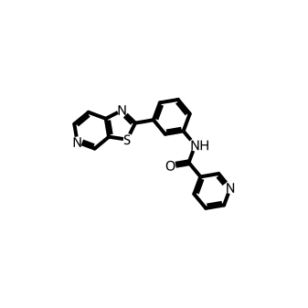 O=C(Nc1cccc(-c2nc3ccncc3s2)c1)c1cccnc1